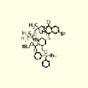 CC(C)(CO[Si](C)(C)C(C)(C)C)Cn1cc(S[C@H]2CCN(C(=O)OC(C)(C)C)[C@H](CO[Si](c3ccccc3)(c3ccccc3)C(C)(C)C)C2)c2cc(Br)ccc2c1=O